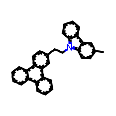 Cc1ccc2c(c1)c1ccccc1n2CCc1ccc2c3ccccc3c3ccccc3c2c1